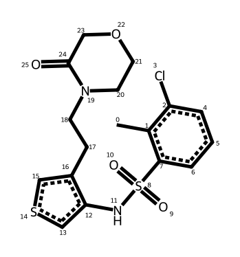 Cc1c(Cl)cccc1S(=O)(=O)Nc1cscc1CCN1CCOCC1=O